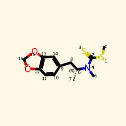 CSC(=S)N(C)[C@H](C)Cc1ccc2c(c1)OCO2